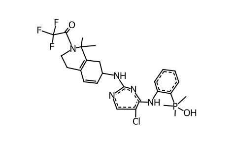 CC1(C)C2=C(C=CC(Nc3ncc(Cl)c(Nc4ccccc4P(C)(C)(C)O)n3)C2)CCN1C(=O)C(F)(F)F